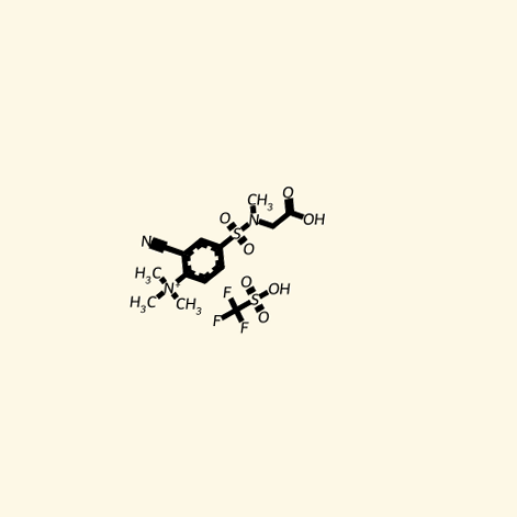 CN(CC(=O)O)S(=O)(=O)c1ccc([N+](C)(C)C)c(C#N)c1.O=S(=O)(O)C(F)(F)F